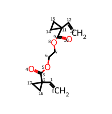 C=CC1(C(=O)OCCOC(=O)C2(C=C)CC2)CC1